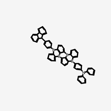 c1ccc(N(c2ccccc2)c2ccc(B3c4ccccc4B4c5cccc6c5B(c5ccccc5B6c5ccc(C6c7ccccc7-c7ccccc76)cc5)c5cccc3c54)cc2)cc1